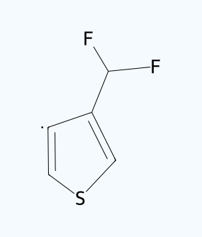 FC(F)c1[c]csc1